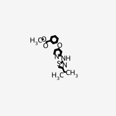 COC(=O)c1cccc(Oc2ccnc(Nc3nc(C(C)C)cs3)c2)c1